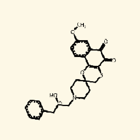 COc1ccc2c(c1)C(=O)C(=O)C1=C2OC2(CCN(C[C@H](O)Cc3ccccc3)CC2)CS1